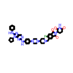 O=C1CCC(N2C(=O)c3cc(F)c(CN4CCC(N5CCN(c6ccc(Nc7ncc8nc(Nc9ccccc9)n(C9CCCC9)c8n7)cc6)CC5)CC4)cc3C2=O)C(=O)N1